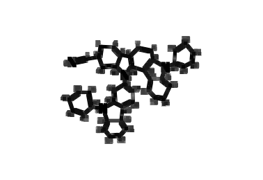 N#Cc1ccc2c3ccc4c(c5ccccc5n4-c4ccccc4)c3n(-c3ccc4c5ccccc5n(-c5ccccc5)c4c3)c2c1